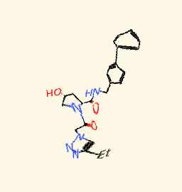 CCc1cn(CC(=O)N2C[C@H](O)C[C@H]2C(=O)NCc2ccc(-c3ccccc3)cc2)nn1